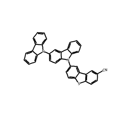 N#Cc1ccc2sc3ccc(-n4c5ccccc5c5cc(-n6c7ccccc7c7ccccc76)ccc54)cc3c2c1